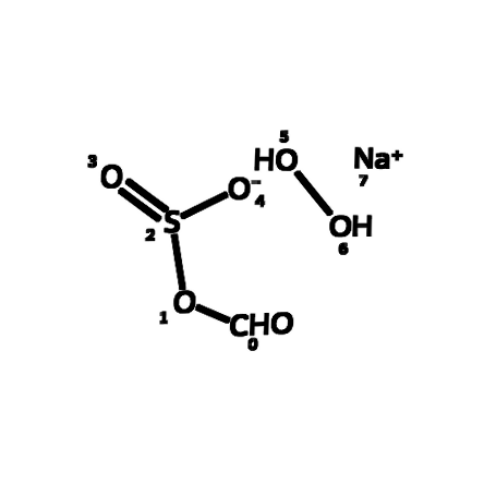 O=COS(=O)[O-].OO.[Na+]